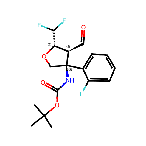 CC(C)(C)OC(=O)N[C@@]1(c2ccccc2F)CO[C@H](C(F)F)[C@H]1C=O